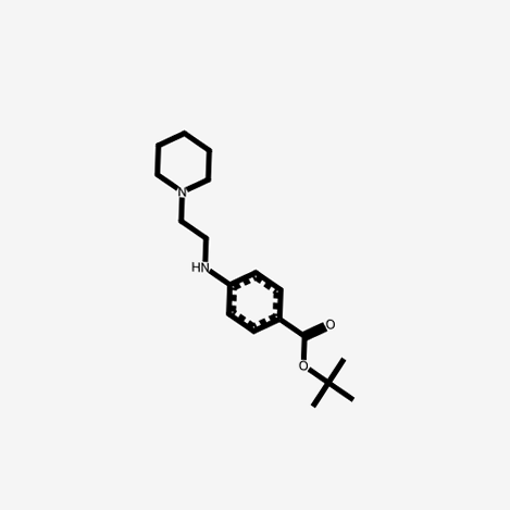 CC(C)(C)OC(=O)c1ccc(NCCN2CCCCC2)cc1